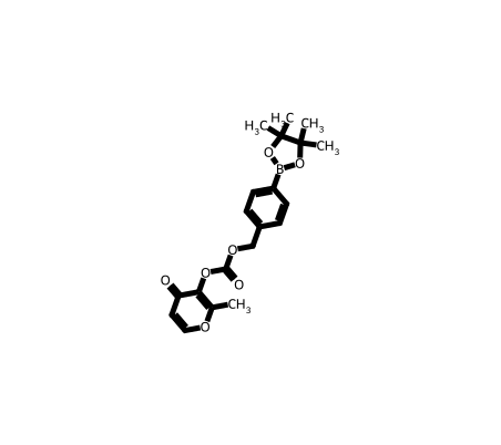 Cc1occc(=O)c1OC(=O)OCc1ccc(B2OC(C)(C)C(C)(C)O2)cc1